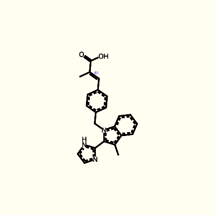 C/C(=C\c1ccc(Cn2c(-c3ncc[nH]3)c(C)c3ccccc32)cc1)C(=O)O